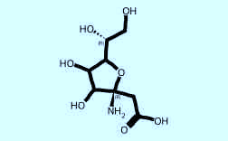 N[C@]1(CC(=O)O)OC([C@H](O)CO)C(O)C1O